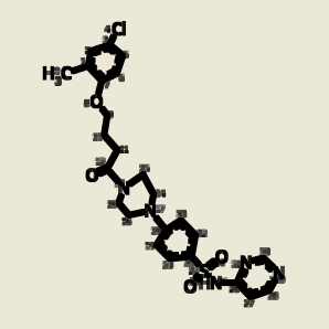 Cc1cc(Cl)ccc1OCCCC(=O)N1CCN(c2ccc(S(=O)(=O)Nc3ccncn3)cc2)CC1